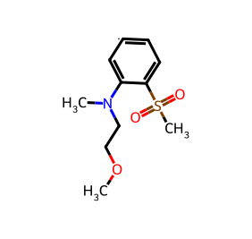 COCCN(C)c1c[c]ccc1S(C)(=O)=O